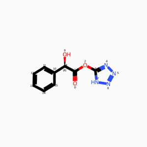 O=C(Oc1nnn[nH]1)[C@H](O)c1ccccc1